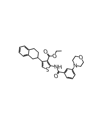 CCOC(=O)c1c(C2CCc3ccccc3C2)csc1NC(=O)c1cccc(N2CCOCC2)c1